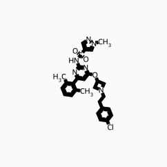 Cc1cccc(C)c1-c1cc(OC2CN(CCc3ccc(Cl)cc3)C2)nc(NS(=O)(=O)c2cnn(C)c2)n1